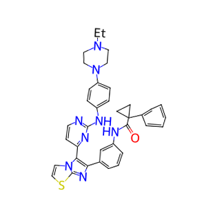 CCN1CCN(c2ccc(Nc3nccc(-c4c(-c5cccc(NC(=O)C6(c7ccccc7)CC6)c5)nc5sccn45)n3)cc2)CC1